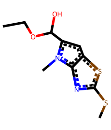 CCOC(O)c1cc2sc(SC)nc2n1C